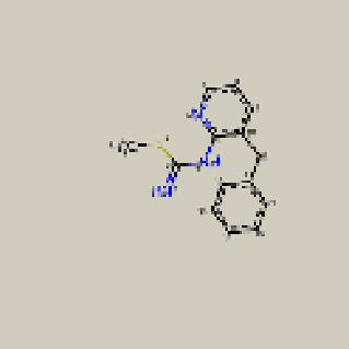 CSC(=N)Nc1ncccc1Cc1ccccc1